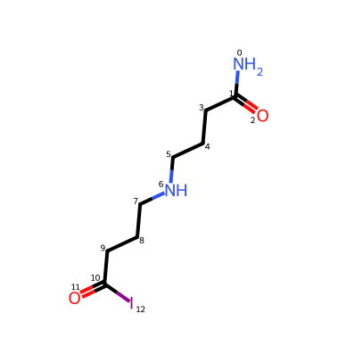 NC(=O)CCCNCCCC(=O)I